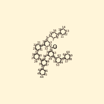 O=C(c1cc(Cc2ccc(-c3ccccc3)cc2)cc(-c2cccc(-c3ccccc3)c2)c1)c1cc(Cc2ccc(-c3ccccc3)cc2)cc(-c2cccc(-c3ccccc3)c2)c1